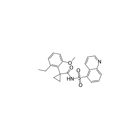 CCc1cccc(OC)c1C1(C(=O)NS(=O)(=O)c2cccc3ncccc23)CC1